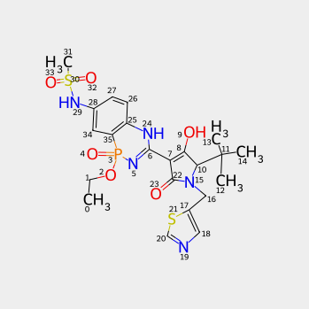 CCOP1(=O)N=C(C2=C(O)C(C(C)(C)C)N(Cc3cncs3)C2=O)Nc2ccc(NS(C)(=O)=O)cc21